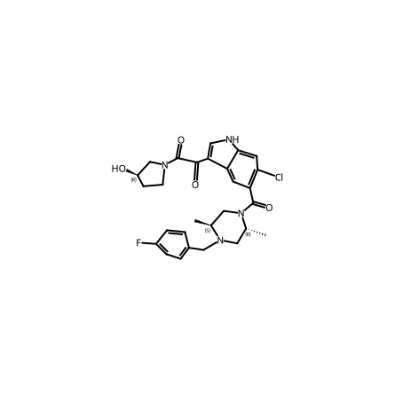 C[C@@H]1CN(Cc2ccc(F)cc2)[C@@H](C)CN1C(=O)c1cc2c(C(=O)C(=O)N3CC[C@@H](O)C3)c[nH]c2cc1Cl